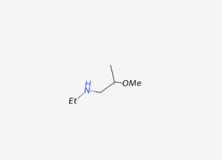 CCNC[C](C)OC